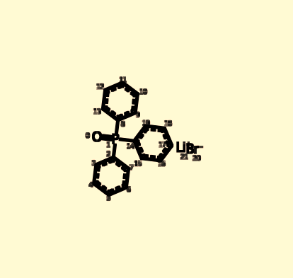 O=P(c1ccccc1)(c1ccccc1)c1ccccc1.[Br-].[Li+]